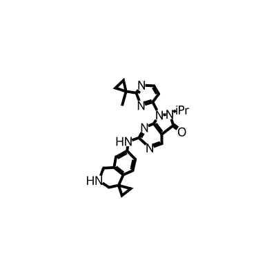 CC(C)n1c(=O)c2cnc(Nc3ccc4c(c3)CNCC43CC3)nc2n1-c1ccnc(C2(C)CC2)n1